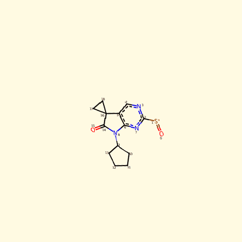 O=[S+]c1ncc2c(n1)N(C1CCCC1)C(=O)C21CC1